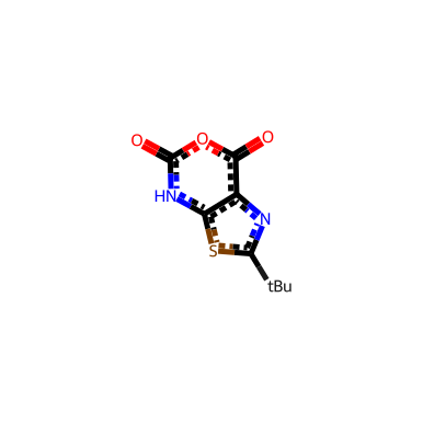 CC(C)(C)c1nc2c(=O)oc(=O)[nH]c2s1